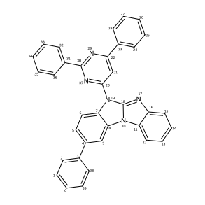 c1ccc(-c2ccc3c(c2)n2c4ccccc4nc2n3-c2cc(-c3ccccc3)nc(-c3ccccc3)n2)cc1